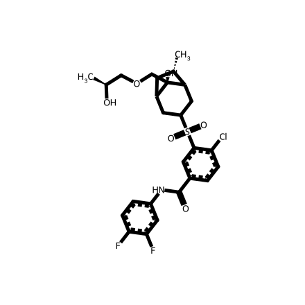 C[C@H](O)COC[C@@]1(O)C2CC(S(=O)(=O)c3cc(C(=O)Nc4ccc(F)c(F)c4)ccc3Cl)CC1[C@@H](C)C2